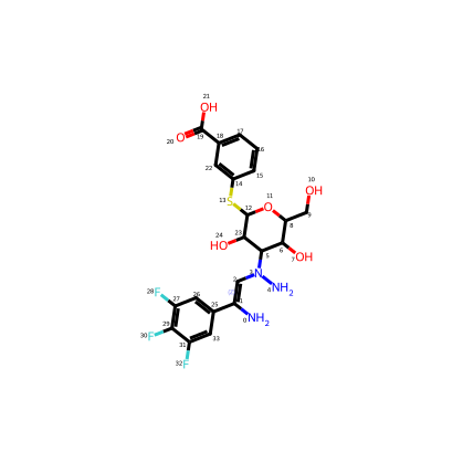 N/C(=C\N(N)C1C(O)C(CO)OC(Sc2cccc(C(=O)O)c2)C1O)c1cc(F)c(F)c(F)c1